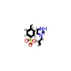 C=CC[N+]1=CNCC1.Cc1ccc(S(=O)(=O)[O-])cc1